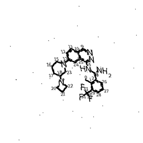 Cc1c([C@@H](N)Nc2nncc3ccc(N4CCCC(N5CCC5)C4)cc23)cccc1C(F)(F)F